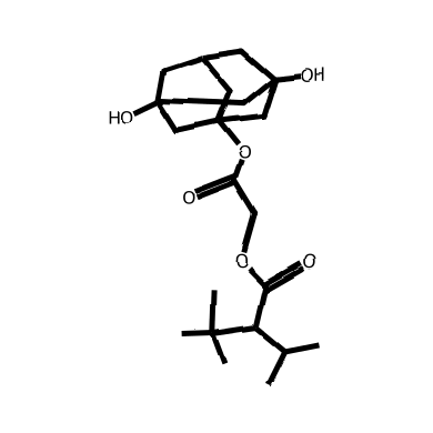 CC(C)C(C(=O)OCC(=O)OC12CC3CC(O)(CC(O)(C3)C1)C2)C(C)(C)C